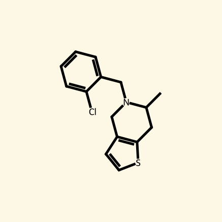 CC1Cc2sccc2CN1Cc1ccccc1Cl